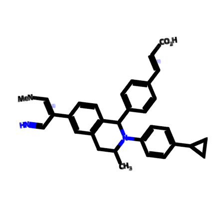 CN/C=C(\C=N)c1ccc2c(c1)CC(C)N(c1ccc(C3CC3)cc1)C2c1ccc(/C=C/C(=O)O)cc1